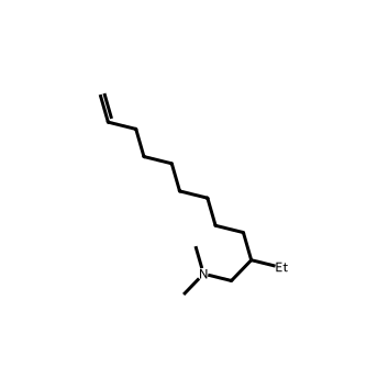 C=CCCCCCCCC(CC)CN(C)C